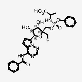 CC(N[P@](=O)(OC[C@@]1(CF)O[C@@H](c2ccc3c(NC(=O)c4ccccc4)ncnn23)[C@H](O)[C@@H]1O)Oc1ccccc1)C(=O)O